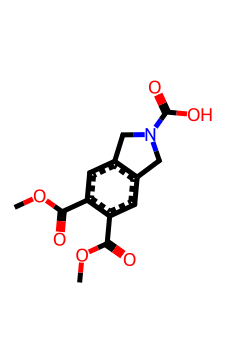 COC(=O)c1cc2c(cc1C(=O)OC)CN(C(=O)O)C2